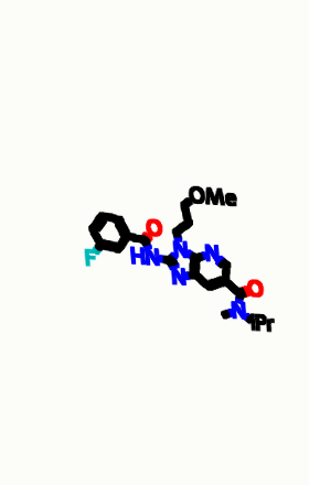 COCCCn1c(NC(=O)c2cccc(F)c2)nc2cc(C(=O)N(C)C(C)C)cnc21